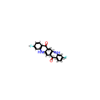 O=c1c2ccc(F)cc2[nH]c2cc3c(=O)c4ccc(F)cc4[nH]c3cc12